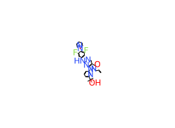 C=CCn1c(=O)c2cnc(Nc3cc(F)c(N4CC5CC(C4)N5C)c(F)c3)nc2n1-c1cccc(C(C)(C)O)n1